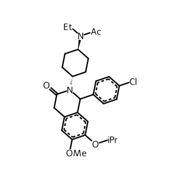 CCN(C(C)=O)[C@H]1CC[C@H](N2C(=O)Cc3cc(OC)c(OC(C)C)cc3C2c2ccc(Cl)cc2)CC1